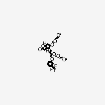 COCCOCOC(C=C[C@@H]1[C@H]2CC(=O)O[C@H]2C[C@H]1OCOCCOC)COc1cccc(C(F)(F)F)c1